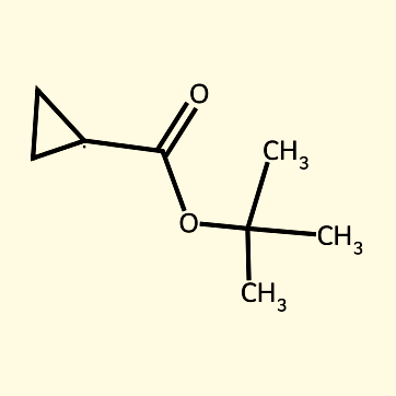 CC(C)(C)OC(=O)[C]1CC1